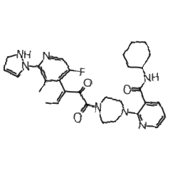 C/C=C(/C(=O)C(=O)N1CCN(c2ncccc2C(=O)NC2CCCCC2)CC1)c1c(F)cnc(N2C=CCN2)c1C